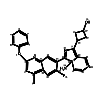 Cc1cc(Oc2ccccc2)nc2cc(C3=NC(C4CC(O)C4)=C4C=NC=C[N+]34N)c(F)cc12